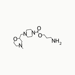 CN1CCOC(CN2CCN(C(=O)OCCCN)CC2)C1